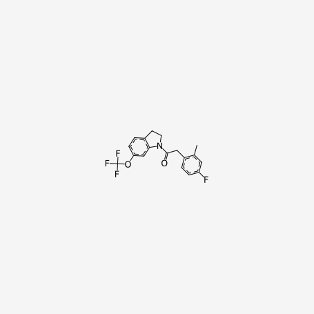 Cc1cc(F)ccc1CC(=O)N1CCc2ccc(OC(F)(F)F)cc21